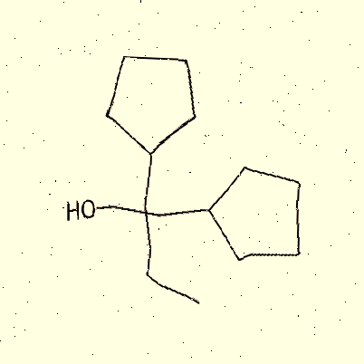 CCC(O)(C1CCCC1)C1CCCC1